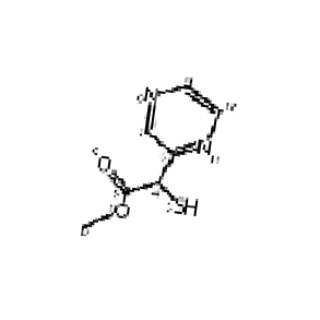 COC(=O)C(S)c1cnccn1